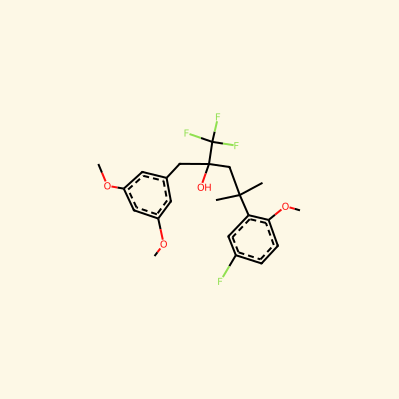 COc1cc(CC(O)(CC(C)(C)c2cc(F)ccc2OC)C(F)(F)F)cc(OC)c1